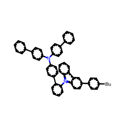 CC(C)(C)c1ccc(-c2ccc3c(c2)c2ccccc2n3-c2ccccc2-c2ccc(N(c3ccc(-c4ccccc4)cc3)c3ccc(-c4ccccc4)cc3)cc2)cc1